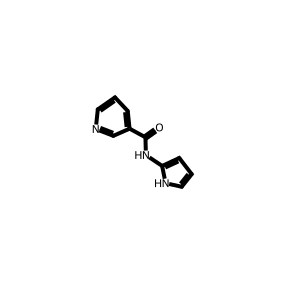 O=C(Nc1ccc[nH]1)c1cccnc1